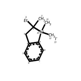 CCC1(C)Cc2ccccc2[N+]1(C)C.[I-]